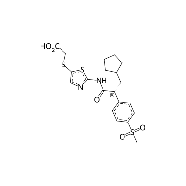 CS(=O)(=O)c1ccc([C@@H](CC2CCCC2)C(=O)Nc2ncc(SCC(=O)O)s2)cc1